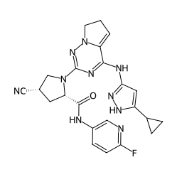 N#C[C@H]1C[C@@H](C(=O)Nc2ccc(F)nc2)N(C2=NN3CCC=C3C(Nc3cc(C4CC4)[nH]n3)=N2)C1